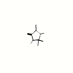 CC1C(=O)C(O)C(C)(C)C1C(C)(C)C